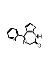 O=C1CN=C(c2ccccn2)c2ccsc2N1